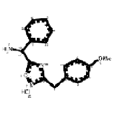 COc1ccc(Cc2noc([C@@H](N)c3ccccc3)n2)cc1.Cl